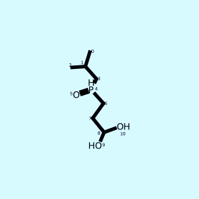 CC(C)C[PH](=O)CCC(O)O